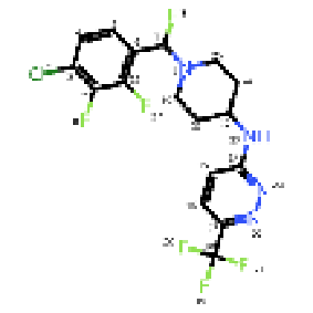 Fc1c(Cl)ccc(C(F)N2CCC(Nc3ccc(C(F)(F)F)nn3)CC2)c1F